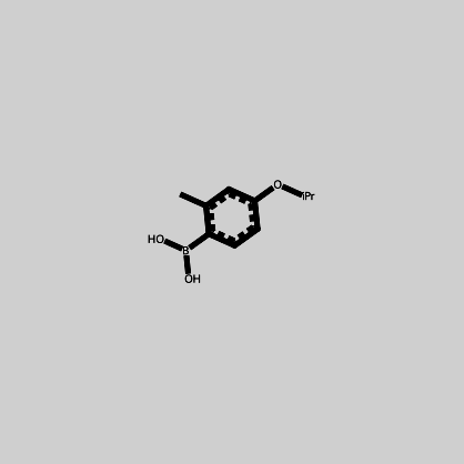 Cc1cc(OC(C)C)ccc1B(O)O